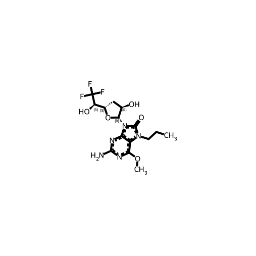 CCCn1c(=O)n([C@@H]2O[C@H]([C@@H](O)C(F)(F)F)C[C@H]2O)c2nc(N)nc(OC)c21